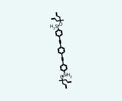 C=CCC(C)(CC=C)O[SiH2]c1ccc(C#Cc2ccc(C#Cc3ccc([SiH2]OC(C)(CC=C)CC=C)cc3)cc2)cc1